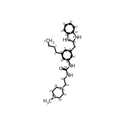 CCCCc1cc(CC2Nc3ccccc3N2)cc(NC(=O)NCCN2CCN(C)CC2)c1